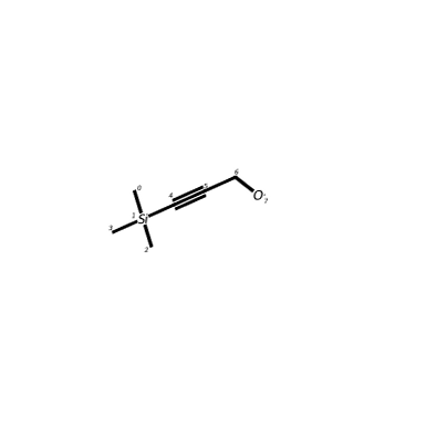 C[Si](C)(C)C#CC[O]